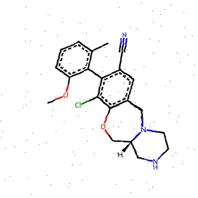 COc1cccc(C)c1-c1c(C#N)cc2c(c1Cl)OC[C@H]1CNCCN1C2